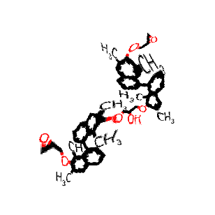 Cc1cc2cccc(-c3cccc4cc(C)c(OCC5CO5)c(C)c34)c2c(C)c1OCC(O)COc1c(C)cc2cccc(-c3cccc4cc(C)c(OCC5CO5)c(C)c34)c2c1C